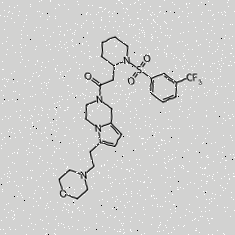 O=C(CC1CCCCN1S(=O)(=O)c1cccc(C(F)(F)F)c1)N1CCn2c(CCN3CCOCC3)ccc2C1